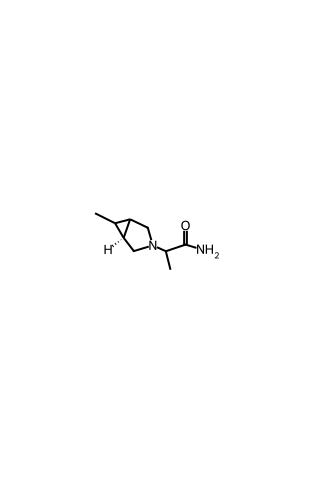 CC1C2CN(C(C)C(N)=O)C[C@@H]12